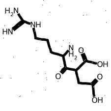 N=C(N)NCCCC(N)C(=O)C(CC(=O)O)C(=O)O